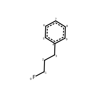 F[CH]CCc1ccccc1